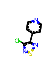 Clc1nsnc1-c1ccncc1